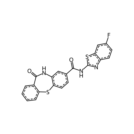 O=C(Nc1nc2ccc(F)cc2s1)c1ccc2c(c1)NC(=O)c1ccccc1S2